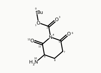 CC(C)(C)OC(=O)N1C(=O)CCC(N)C1=O